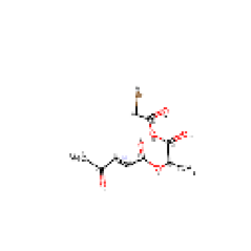 COC(=O)/C=C/C(=O)OC(C)C(=O)OC(=O)CBr